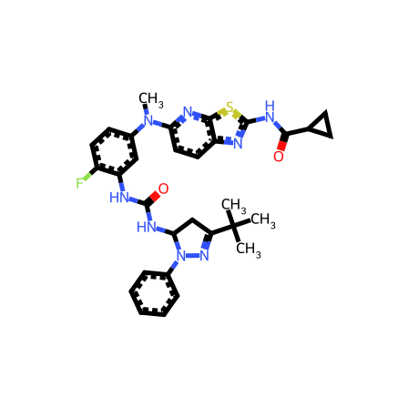 CN(c1ccc(F)c(NC(=O)NC2CC(C(C)(C)C)=NN2c2ccccc2)c1)c1ccc2nc(NC(=O)C3CC3)sc2n1